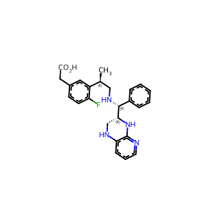 C[C@@H](CN[C@H](c1ccccc1)[C@H]1CNc2cccnc2N1)c1cc(CC(=O)O)ccc1F